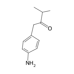 CC(C)C(=O)Cc1ccc(N)cc1